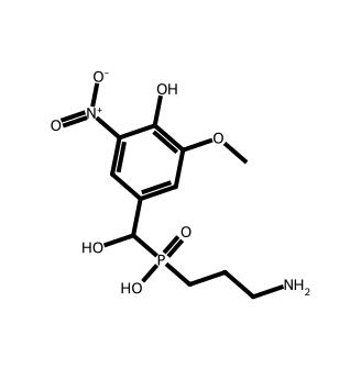 COc1cc(C(O)P(=O)(O)CCCN)cc([N+](=O)[O-])c1O